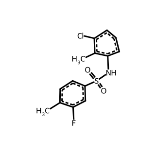 Cc1ccc(S(=O)(=O)Nc2cccc(Cl)c2C)cc1F